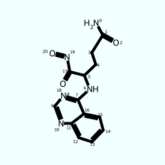 NC(=O)CCC(Nc1ncnc2ccccc12)C(=O)N=O